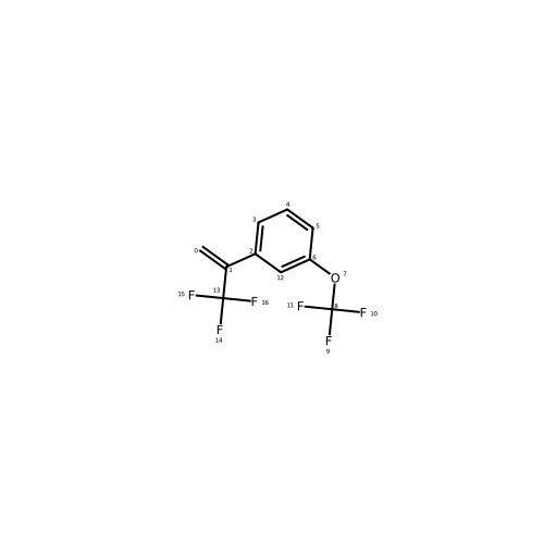 C=C(c1cccc(OC(F)(F)F)c1)C(F)(F)F